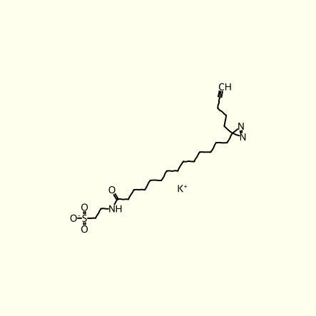 C#CCCCC1(CCCCCCCCCCCCCC(=O)NCCS(=O)(=O)[O-])N=N1.[K+]